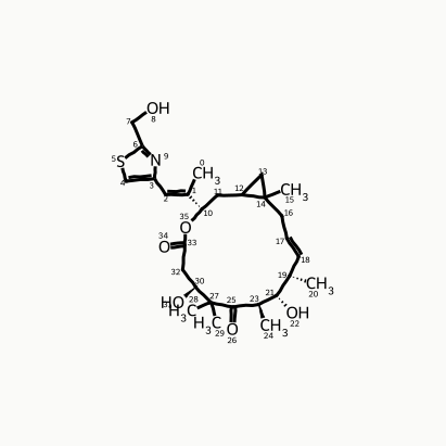 C/C(=C\c1csc(CO)n1)[C@@H]1CC2CC2(C)C/C=C/[C@H](C)[C@H](O)[C@@H](C)C(=O)C(C)(C)[C@@H](O)CC(=O)O1